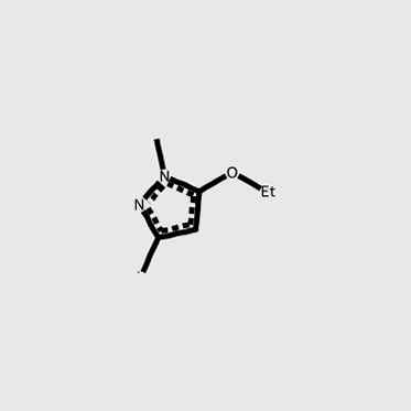 [CH2]c1cc(OCC)n(C)n1